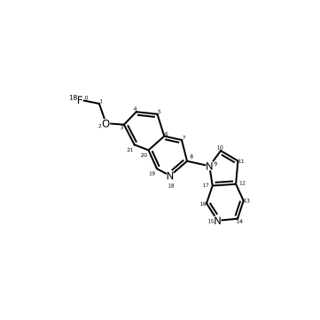 [18F]COc1ccc2cc(-n3ccc4ccncc43)ncc2c1